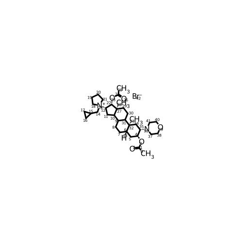 CC(=O)O[C@H]1C[C@@H]2CCC3C4C[C@H]([N+]5(CC6CC6)CCCC5)[C@H](OC(C)=O)[C@@]4(C)CCC3[C@@]2(C)C[C@@H]1N1CCOCC1.[Br-]